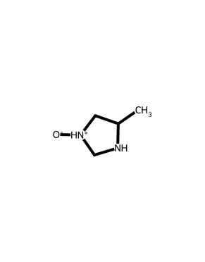 CC1C[NH+]([O-])CN1